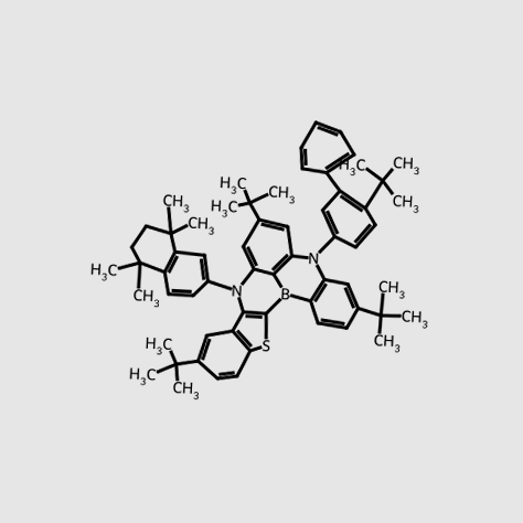 CC(C)(C)c1ccc2c(c1)N(c1ccc(C(C)(C)C)c(-c3ccccc3)c1)c1cc(C(C)(C)C)cc3c1B2c1sc2ccc(C(C)(C)C)cc2c1N3c1ccc2c(c1)C(C)(C)CCC2(C)C